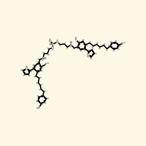 O=[PH](OCCCNCc1cc(-c2ccco2)c(CCCCCCc2ccc(F)cc2)cc1F)OCCCNCc1cc(-c2ccco2)c(CCCCCCc2ccc(F)cc2)cc1F